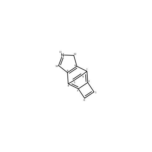 C1=Cc2c1c1ccc2c2c1C=NC2